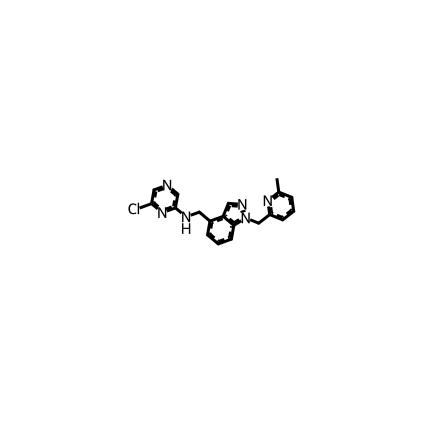 Cc1cccc(Cn2ncc3c(CNc4cncc(Cl)n4)cccc32)n1